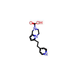 O=C(O)N1CCn2c(CCc3ccncc3)ccc2C1